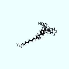 CCCCCCCCc1cnc(-c2ccc([C@@]3(OC(=O)O)COC(C)(C)O3)cc2)nc1